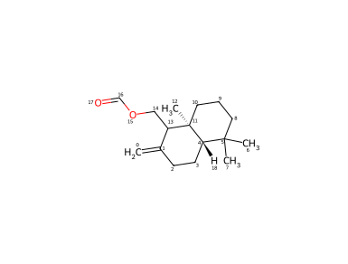 C=C1CC[C@H]2C(C)(C)CCC[C@]2(C)C1COC=O